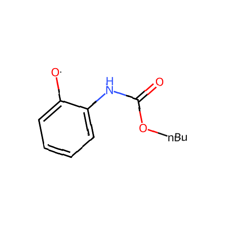 CCCCOC(=O)Nc1ccccc1[O]